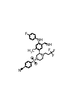 Cc1cc(Nc2ccc(F)cc2)c(C=N)cc1[C@@H]1CN(S(=O)(=O)c2ccc(C#N)cc2)CCN1CCC(F)(F)F